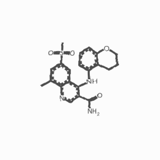 Cc1cc(S(C)(=O)=O)cc2c(Nc3cccc4c3CCCO4)c(C(N)=O)cnc12